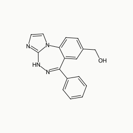 OCc1ccc2c(c1)C(c1ccccc1)=NNc1nccn1-2